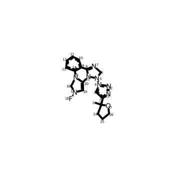 CC1(c2cn(N3CN=C4c5ccccc5N5CN(F)C=C5N43)nn2)CCCO1